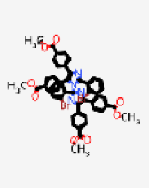 COC(=O)c1ccc(C2=NC(c3ccccc3Br)(n3c(-c4ccccc4Br)nc(-c4ccc(C(=O)OC)cc4)c3-c3ccc(C(=O)OC)cc3)N=C2c2ccc(C(=O)OC)cc2)cc1